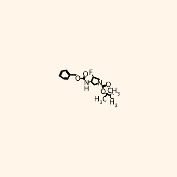 CC(C)(C)OC(=O)N1C[C@H](F)[C@H](NC(=O)OCc2ccccc2)C1